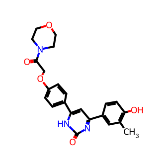 Cc1cc(-c2cc(-c3ccc(OCC(=O)N4CCOCC4)cc3)[nH]c(=O)n2)ccc1O